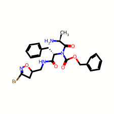 C[C@H](N)C(=O)N(C(=O)OCc1ccccc1)[C@@H](Cc1ccccc1)C(=O)NCC1CC(Br)=NO1